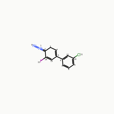 [N-]=[N+]=C1CC=C(c2[c]ccc(Cl)c2)C=C1I